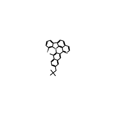 Cc1c2ccc(CC(C)(C)C)cc2cc2c3nccc4ccc5c6cccc(F)c6n(c12)c5c43